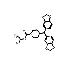 CC(=O)C(OC(=O)N1CCC(C(c2ccc3c(c2)OCO3)c2ccc3c(c2)OCO3)CC1)C(F)(F)F